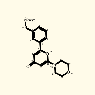 CCCCCNc1cccc(-c2cc(=O)cc(N3CCOCC3)o2)c1